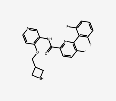 O=C(Nc1cnccc1OCC1CNC1)c1ccc(F)c(-c2c(F)cccc2F)n1